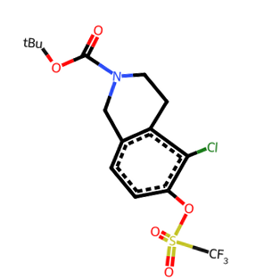 CC(C)(C)OC(=O)N1CCc2c(ccc(OS(=O)(=O)C(F)(F)F)c2Cl)C1